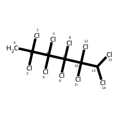 [CH2]C(Cl)(Cl)C(Cl)(Cl)C(Cl)(Cl)C(Cl)(Cl)C(Cl)Cl